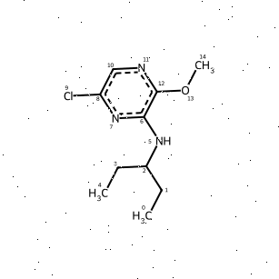 CCC(CC)Nc1nc(Cl)cnc1OC